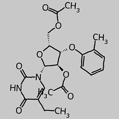 CCc1cn([C@@H]2O[C@H](COC(C)=O)[C@H](Oc3ccccc3C)[C@H]2OC(C)=O)c(=O)[nH]c1=O